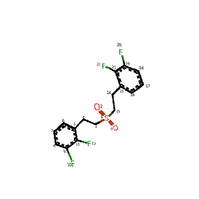 O=S(=O)(CCc1cccc(F)c1F)CCc1cccc(F)c1F